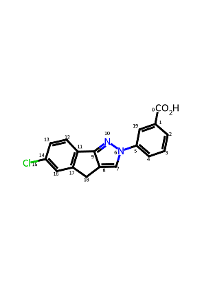 O=C(O)c1cccc(-n2cc3c(n2)-c2ccc(Cl)cc2C3)c1